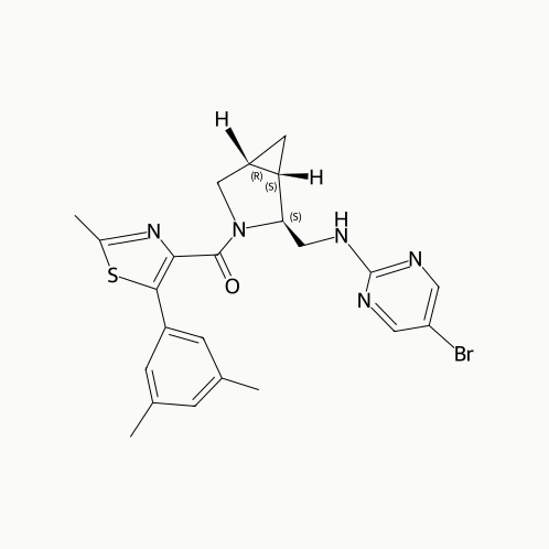 Cc1cc(C)cc(-c2sc(C)nc2C(=O)N2C[C@@H]3C[C@@H]3[C@H]2CNc2ncc(Br)cn2)c1